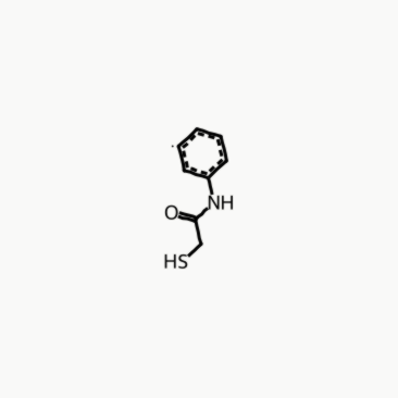 O=C(CS)Nc1c[c]ccc1